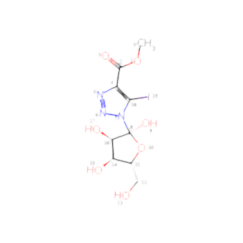 COC(=O)c1nnn([C@@]2(O)O[C@H](CO)[C@@H](O)[C@H]2O)c1I